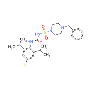 CC(C)c1cc(F)cc(C(C)C)c1NC(=O)NS(=O)(=O)N1CCN(Cc2ccccc2)CC1